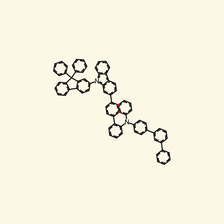 c1ccc(-c2cccc(-c3ccc(N(c4ccccc4)c4ccccc4-c4ccc(-c5ccc6c7ccccc7n(-c7ccc8c(c7)C(c7ccccc7)(c7ccccc7)c7ccccc7-8)c6c5)cc4)cc3)c2)cc1